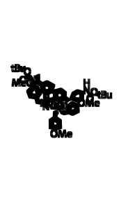 COc1ccc(CN(Cc2ccc(OC)cc2)S(=O)(=O)c2c(C[C@H]3CC[C@H](NC(=O)OC(C)(C)C)CC3)ccc(-c3ccc(C4CN(C(=O)OC(C)(C)C)C4)cc3)c2-c2nnn(Cc3ccc(OC)cc3)n2)cc1